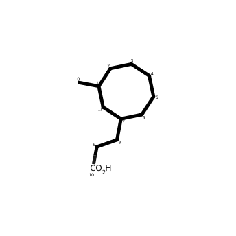 CC1CCCCCC(CCC(=O)O)C1